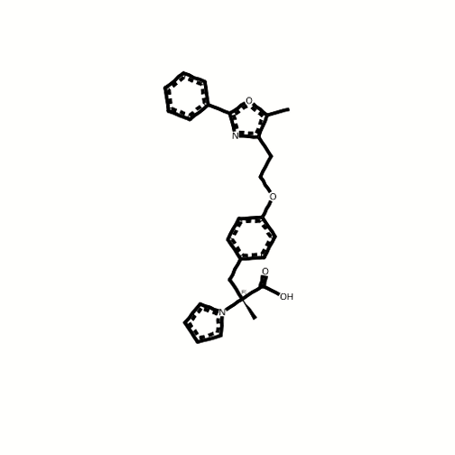 Cc1oc(-c2ccccc2)nc1CCOc1ccc(C[C@](C)(C(=O)O)n2cccc2)cc1